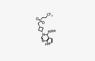 CNC1c2cc[nH]c2N=CN1[C@H]1C[C@H](CS(=O)(=O)CCC(F)(F)F)C1